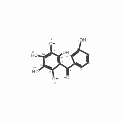 O=C(c1cccc(O)c1)c1c(O)c(O)c(O)c(O)c1O